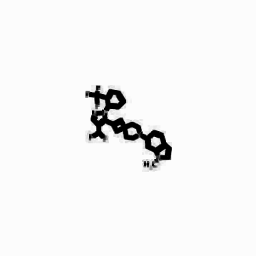 Cn1ccc2ccc(N3CCC4(C=C(c5c(C(F)F)cnn5-c5ccccc5C(F)(F)F)C4)CC3)cc21